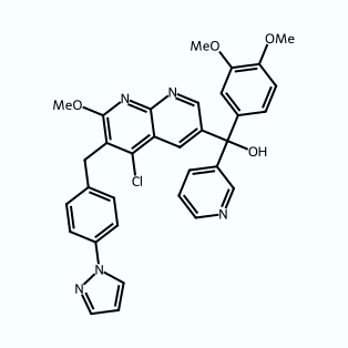 COc1ccc(C(O)(c2cccnc2)c2cnc3nc(OC)c(Cc4ccc(-n5cccn5)cc4)c(Cl)c3c2)cc1OC